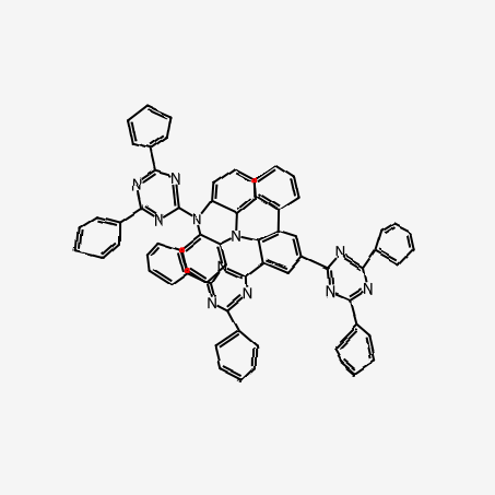 c1ccc(-c2nc(-c3ccccc3)nc(-c3cc(-c4ccccc4)c(N4c5ccccc5N(c5nc(-c6ccccc6)nc(-c6ccccc6)n5)c5ccccc54)c(-c4nc(-c5ccccc5)nc(-c5ccccc5)n4)c3)n2)cc1